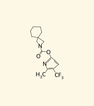 Cc1nc(OC(=O)N2CC3(CCCCC3)C2)ccc1C(F)(F)F